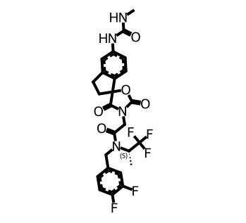 CNC(=O)Nc1ccc2c(c1)CCC21OC(=O)N(CC(=O)N(Cc2ccc(F)c(F)c2)[C@@H](C)C(F)(F)F)C1=O